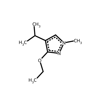 CCOc1nn(C)cc1C(C)C